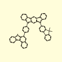 CC1(C)c2ccccc2-c2ccc(-n3c4ccccc4c4cc5c6ccccc6n(-c6ccc(-c7cc8ccccc8c8c7sc7ccccc78)cc6)c5cc43)cc21